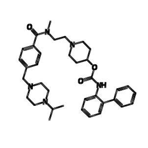 CC(C)N1CCN(Cc2ccc(C(=O)N(C)CCN3CCC(OC(=O)Nc4ccccc4-c4ccccc4)CC3)cc2)CC1